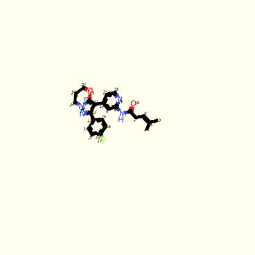 CC(C)=CCC(=O)Nc1cc(-c2c(-c3ccc(F)cc3)nn3c2OCCC3)ccn1